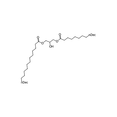 CCCCCCCCCCCCCCCCCCCCCC(=O)OCC(O)COC(=O)CCCCCCCCCCCCCCCCC